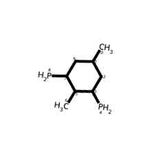 CC1CC(P)C(C)C(P)C1